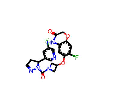 O=C1COc2cc(F)c(OC3CN(C(=O)N4N=CCC4c4cncc(F)c4)C3)cc2N1